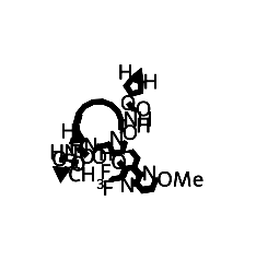 COc1ccc2nc(C(F)F)c3c(c2n1)CC[C@]1(C[C@H]2C(=O)N[C@]4(C(=O)NS(=O)(=O)C5(C)CC5)C[C@H]4/C=C\CCCCC[C@H](NC(O)O[C@@H]4C[C@@H]5C[C@@H]5C4)C(=O)N2C1)O3